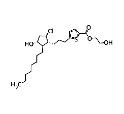 CCCCCCCC[C@@H]1[C@@H](CCCc2ccc(C(=O)OCCO)s2)[C@H](Cl)C[C@H]1O